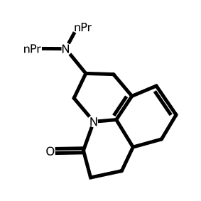 CCCN(CCC)C1CC2=C3C(CC=C2)CCC(=O)N3C1